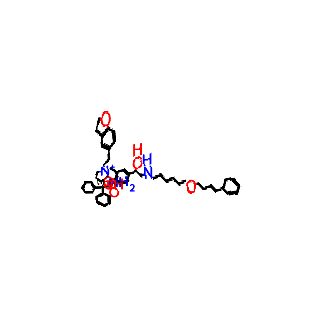 NC(=O)C(c1ccccc1)(c1ccccc1)[C@@H]1CC[N+](CCc2ccc3c(c2)CCO3)(Cc2cc(C(O)CNCCCCCCOCCCCc3ccccc3)ccc2OO)C1